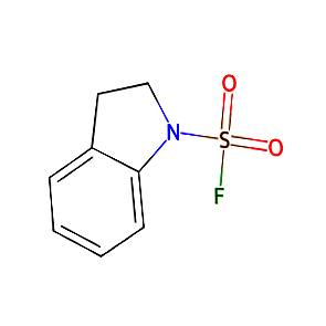 O=S(=O)(F)N1CCc2ccccc21